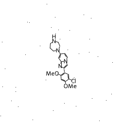 COc1cc(OC)c(-c2cn3ccc(N4CCCNCC4)cc3n2)cc1Cl